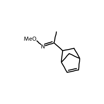 CON=C(C)C1CC2C=CC1C2